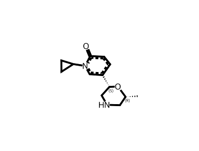 C[C@@H]1CNC[C@H](c2ccc(=O)n(C3CC3)c2)O1